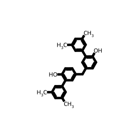 Cc1cc(C)cc(-c2cc(Cc3ccc(O)c(-c4cc(C)cc(C)c4)c3)ccc2O)c1